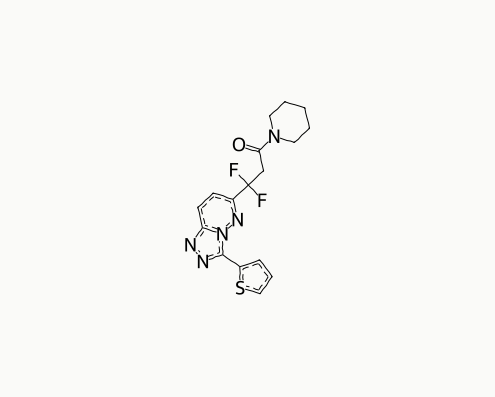 O=C(CC(F)(F)c1ccc2nnc(-c3cccs3)n2n1)N1CCCCC1